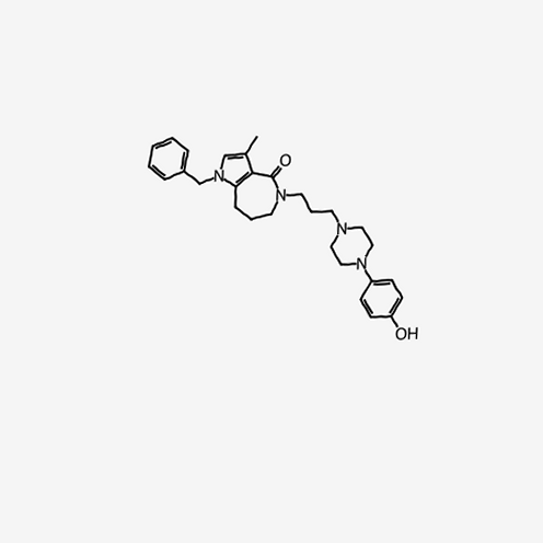 Cc1cn(Cc2ccccc2)c2c1C(=O)N(CCCN1CCN(c3ccc(O)cc3)CC1)CCC2